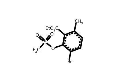 CCOC(=O)c1c(C)ccc(Br)c1OS(=O)(=O)C(F)(F)F